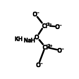 [KH].[NaH].[O-][Cl+2]([O-])O[Cl+2]([O-])[O-]